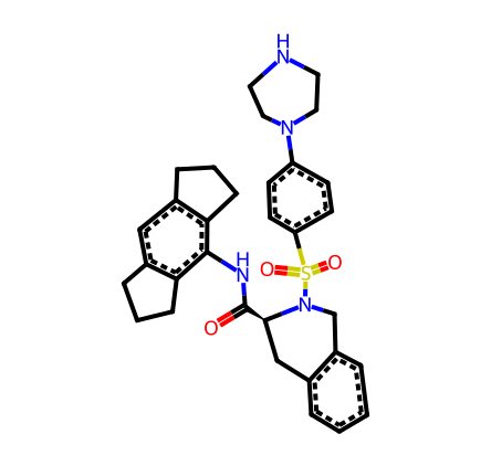 O=C(Nc1c2c(cc3c1CCC3)CCC2)[C@@H]1Cc2ccccc2CN1S(=O)(=O)c1ccc(N2CCNCC2)cc1